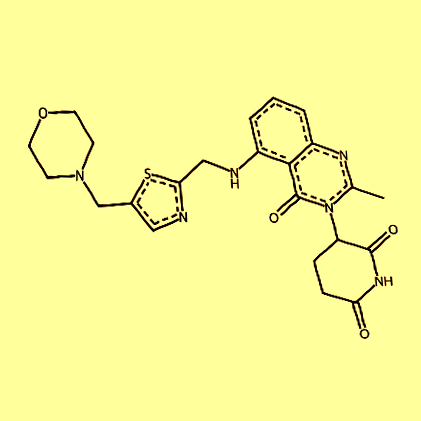 Cc1nc2cccc(NCc3ncc(CN4CCOCC4)s3)c2c(=O)n1C1CCC(=O)NC1=O